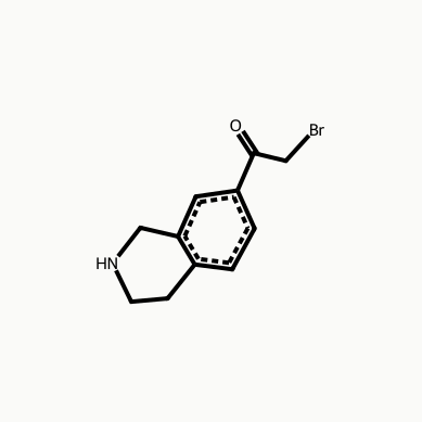 O=C(CBr)c1ccc2c(c1)CNCC2